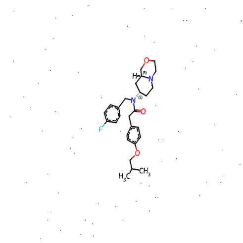 CC(C)COc1ccc(CC(=O)N(Cc2ccc(F)cc2)[C@H]2CCN3CCOC[C@H]3C2)cc1